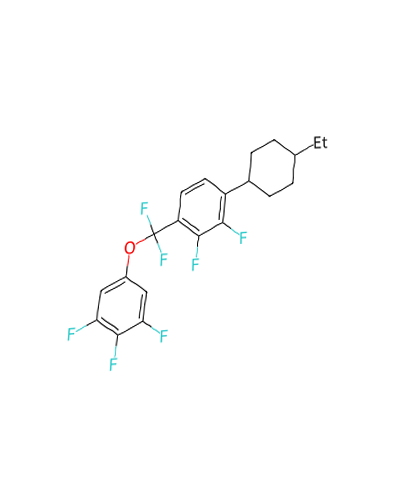 CCC1CCC(c2ccc(C(F)(F)Oc3cc(F)c(F)c(F)c3)c(F)c2F)CC1